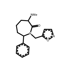 CNC1CCCC(c2ccccc2)N(Cc2ccno2)C1=O